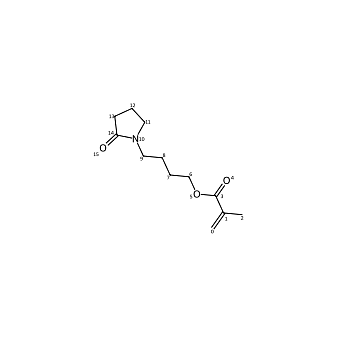 C=C(C)C(=O)OCCCCN1CCCC1=O